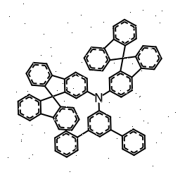 c1ccc(-c2cc(-c3ccccc3)cc(N(c3ccc4c(c3)C3(c5ccccc5-c5ccccc53)c3ccccc3-4)c3ccc4c(c3)C3(c5ccccc5-c5ccccc53)c3ccccc3-4)c2)cc1